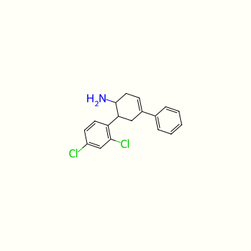 NC1CC=C(c2ccccc2)CC1c1ccc(Cl)cc1Cl